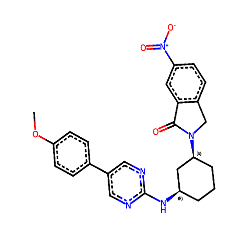 COc1ccc(-c2cnc(N[C@@H]3CCC[C@H](N4Cc5ccc([N+](=O)[O-])cc5C4=O)C3)nc2)cc1